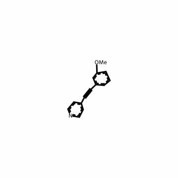 COc1cccc(C#Cc2ccncc2)c1